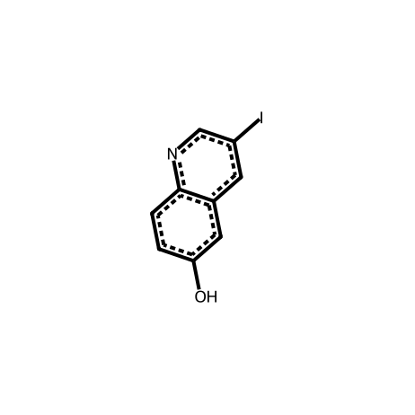 Oc1ccc2ncc(I)cc2c1